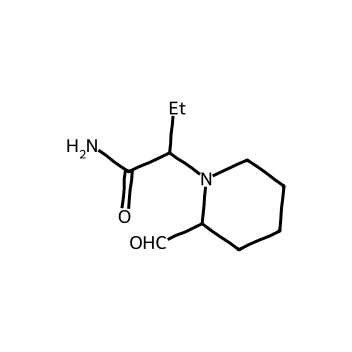 CCC(C(N)=O)N1CCCCC1C=O